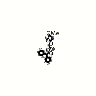 COC(=O)/C=C\C(=O)OCC(=O)OC(=O)C(c1ccccc1)c1ccccc1